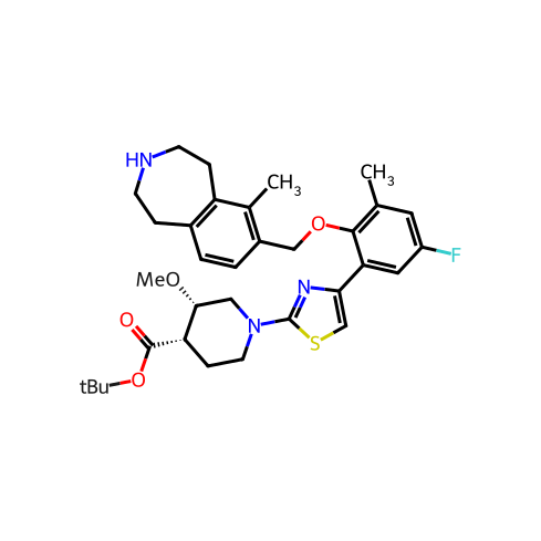 CO[C@@H]1CN(c2nc(-c3cc(F)cc(C)c3OCc3ccc4c(c3C)CCNCC4)cs2)CC[C@@H]1C(=O)OC(C)(C)C